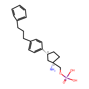 N[C@@]1(COP(=O)(O)O)CC[C@@H](c2ccc(CCCc3ccccc3)cc2)C1